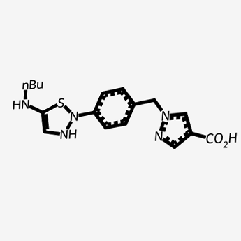 CCCCNC1=CNN(c2ccc(Cn3cc(C(=O)O)cn3)cc2)S1